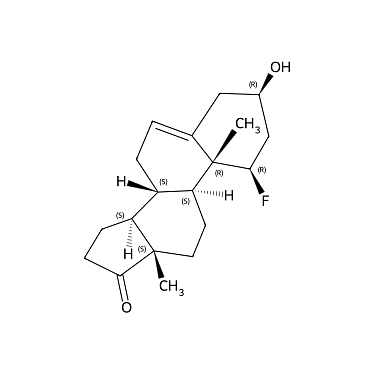 C[C@]12C(=CC[C@@H]3[C@@H]1CC[C@]1(C)C(=O)CC[C@@H]31)C[C@@H](O)C[C@H]2F